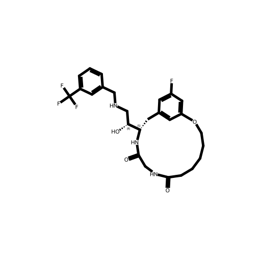 O=C1CCCCCOc2cc(F)cc(c2)C[C@@H]([C@H](O)CNCc2cccc(C(F)(F)F)c2)NC(=O)CN1